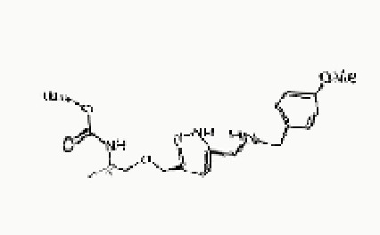 COc1ccc(CNCc2cc(COC[C@H](C)NC(=O)OC(C)(C)C)n[nH]2)cc1